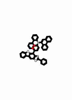 c1ccc(-c2nc3c(-c4ccc(N(c5ccccc5-c5ccccc5)c5cc6ccccc6c6ccccc56)cc4)c4oc5ccccc5c4cc3o2)cc1